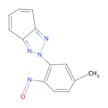 Cc1ccc(N=O)c(-n2nc3ccccc3n2)c1